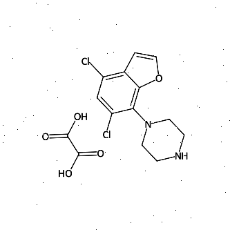 Clc1cc(Cl)c2ccoc2c1N1CCNCC1.O=C(O)C(=O)O